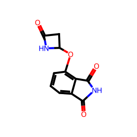 O=C1CC(Oc2cccc3c2C(=O)NC3=O)N1